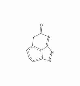 O=C1Cc2cccc3c2C(=N1)N=N3